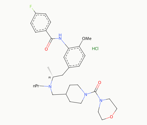 CCCN(CC1CCN(C(=O)N2CCOCC2)CC1)[C@H](C)Cc1ccc(OC)c(NC(=O)c2ccc(F)cc2)c1.Cl